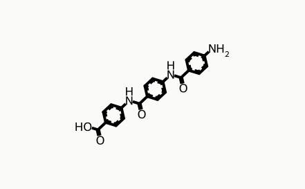 Nc1ccc(C(=O)Nc2ccc(C(=O)Nc3ccc(C(=O)O)cc3)cc2)cc1